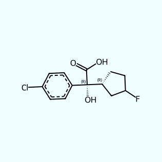 O=C(O)[C@](O)(c1ccc(Cl)cc1)[C@@H]1CCC(F)C1